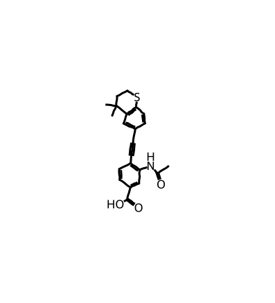 CC(=O)Nc1cc(C(=O)O)ccc1C#Cc1ccc2c(c1)C(C)(C)CCS2